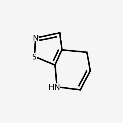 C1=CNc2sncc2C1